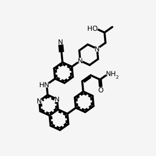 CC(O)CN1CCN(c2ccc(Nc3ncc4cccc(-c5cccc(C=CC(N)=O)c5)c4n3)cc2C#N)CC1